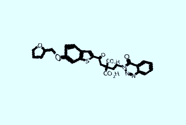 O=C(CC(CCn1nnc2ccccc2c1=O)(C(=O)O)C(=O)O)c1cc2ccc(OCC3CCCO3)cc2s1